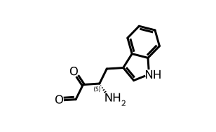 N[C@@H](Cc1c[nH]c2ccccc12)C(=O)C=O